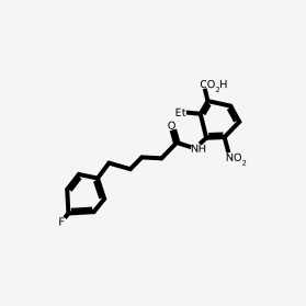 CCc1c(C(=O)O)ccc([N+](=O)[O-])c1NC(=O)CCCCc1ccc(F)cc1